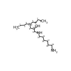 CCCCN(CCCC)CC(O)CNCCCCCCN